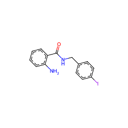 Nc1ccccc1C(=O)NCc1ccc(I)cc1